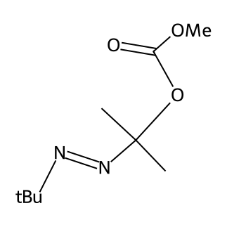 COC(=O)OC(C)(C)N=NC(C)(C)C